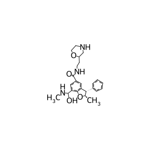 CNC(O)c1cc(C(=O)NCCC2CNCCO2)cc2c1O[C@H](C)[C@H]2c1ccccc1